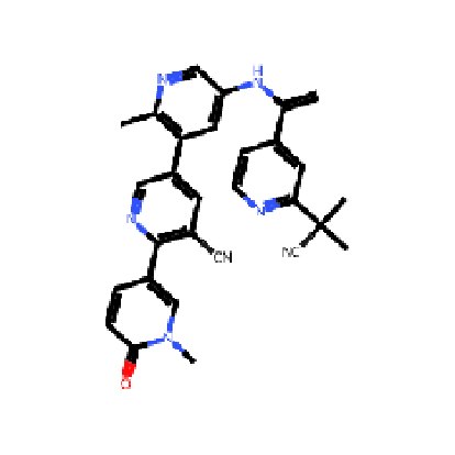 C=C(Nc1cnc(C)c(-c2cnc(-c3ccc(=O)n(C)c3)c(C#N)c2)c1)c1ccnc(C(C)(C)C#N)c1